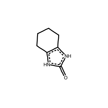 O=c1[nH]c2c([nH]1)CCCC2